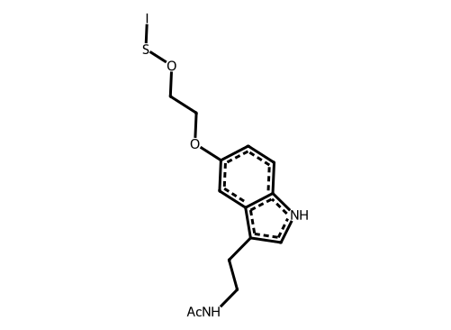 CC(=O)NCCc1c[nH]c2ccc(OCCOSI)cc12